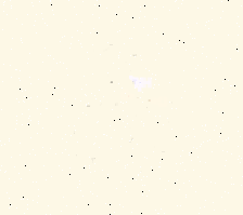 Cc1ccc(S(=O)(=O)Nc2ccccc2C=CC2CCCCC2)cc1